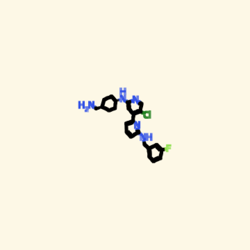 NC[C@H]1CC[C@H](Nc2cc(-c3cccc(NCc4cccc(F)c4)n3)c(Cl)cn2)CC1